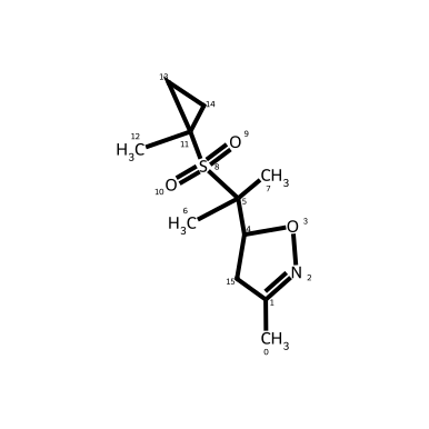 CC1=NOC(C(C)(C)S(=O)(=O)C2(C)CC2)C1